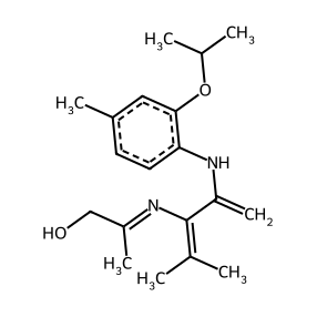 C=C(Nc1ccc(C)cc1OC(C)C)C(/N=C(\C)CO)=C(C)C